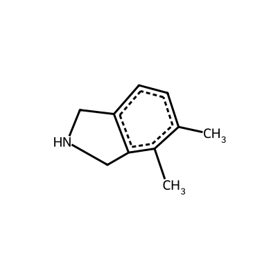 Cc1ccc2c(c1C)CNC2